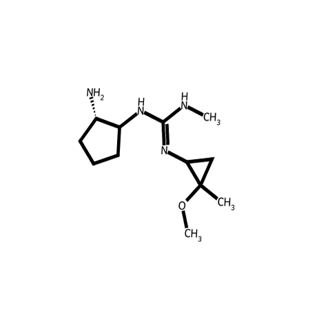 CNC(=NC1CC1(C)OC)NC1CCC[C@@H]1N